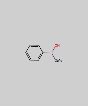 COP(O)c1ccccc1